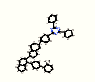 N#Cc1ccccc1-c1ccc(-c2c(-c3ccc4cc(-c5ccc(-c6nc(C7=CC=CCC7)nc(-c7ccccc7)n6)cc5)ccc4c3)ccc3ccccc23)cc1